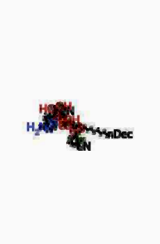 CCCCCCCCCCCCCCCCCCOC[C@H](COP(=O)(O)OC[C@@]1(C#N)O[C@@H](c2ccc3c(N)ncnn23)[C@H](O)[C@@H]1O)OCc1cccc(C#N)c1F